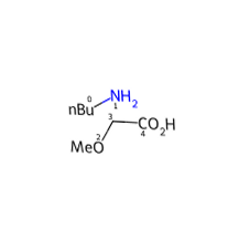 CCCCN.COCC(=O)O